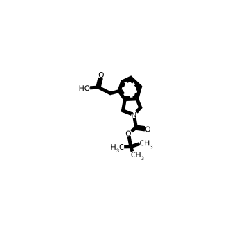 CC(C)(C)OC(=O)N1Cc2cccc(CC(=O)O)c2C1